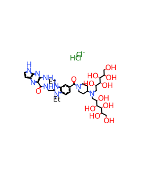 CCn1c(CNC(=O)c2nc3cc[nH]c3nc2N)[n+](CC)c2ccc(C(=O)N3CCC(N(C[C@H](O)[C@@H](O)[C@H](O)[C@H](O)CO)C[C@H](O)[C@@H](O)[C@H](O)[C@H](O)CO)CC3)cc21.Cl.[Cl-]